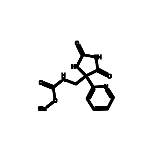 CC(C)(C)OC(=O)NCC1(c2ccccn2)NC(=O)NC1=O